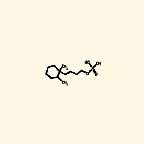 CC1CCCCC1(C)CCCCOP(=O)(O)O